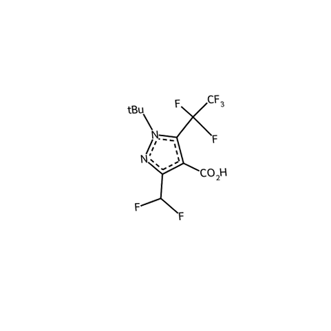 CC(C)(C)n1nc(C(F)F)c(C(=O)O)c1C(F)(F)C(F)(F)F